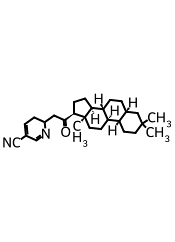 CC1(C)CC[C@H]2[C@H](CC[C@@H]3[C@@H]2CC[C@]2(C)[C@@H](C(=O)CC4CC=C(C#N)C=N4)CC[C@@H]32)C1